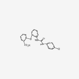 O=C(Nc1ccc(Cl)cc1)Nc1ccccc1Oc1ccccc1C(=O)O